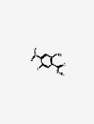 CC(=O)c1cc(F)c([N+](=O)[O-])cc1O